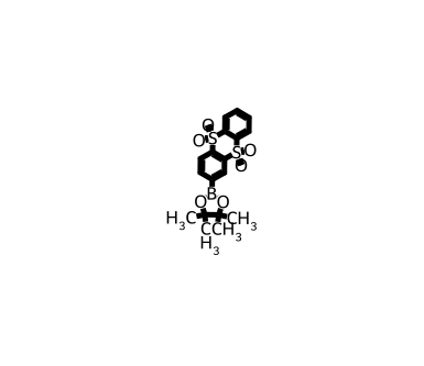 CC1(C)OB(c2ccc3c(c2)S(=O)(=O)c2ccccc2S3(=O)=O)OC1(C)C